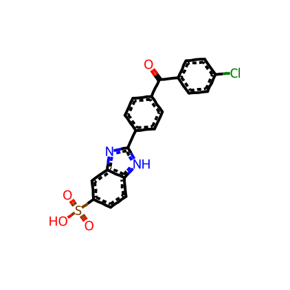 O=C(c1ccc(Cl)cc1)c1ccc(-c2nc3cc(S(=O)(=O)O)ccc3[nH]2)cc1